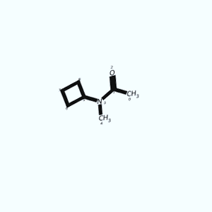 CC(=O)N(C)C1CCC1